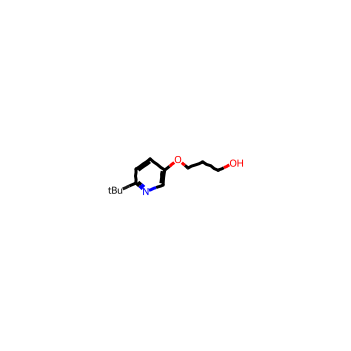 CC(C)(C)c1ccc(OCCCO)cn1